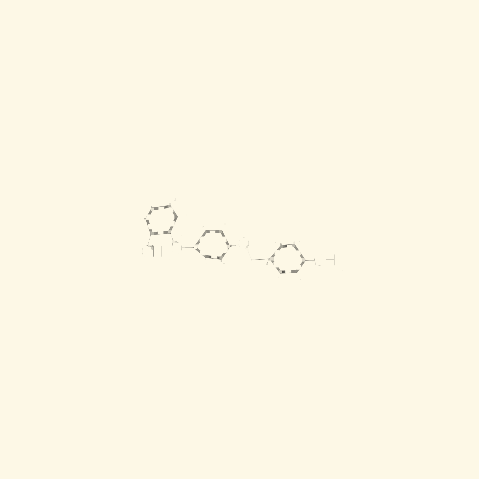 Cc1ccc(COc2ccc(Oc3ccccc3C)cc2)cc1